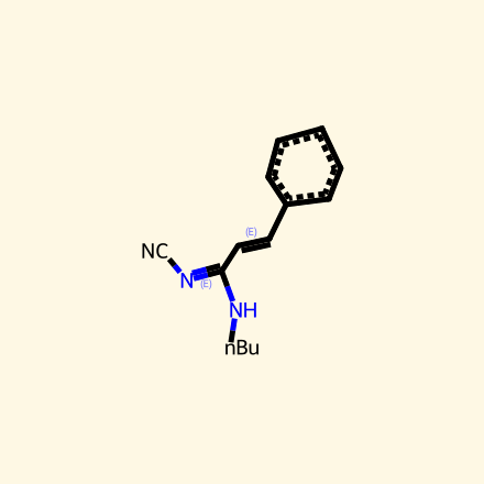 CCCCNC(/C=C/c1ccccc1)=N/C#N